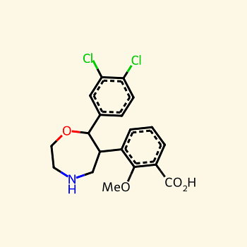 COc1c(C(=O)O)cccc1C1CNCCOC1c1ccc(Cl)c(Cl)c1